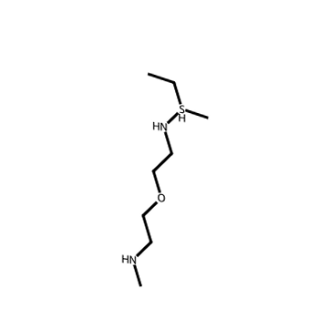 CC[SH](C)NCCOCCNC